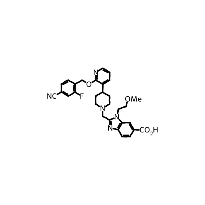 COCCn1c(CN2CCC(c3cccnc3OCc3ccc(C#N)cc3F)CC2)nc2ccc(C(=O)O)cc21